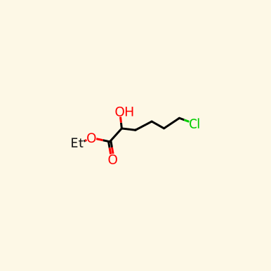 CCOC(=O)C(O)CCCCCl